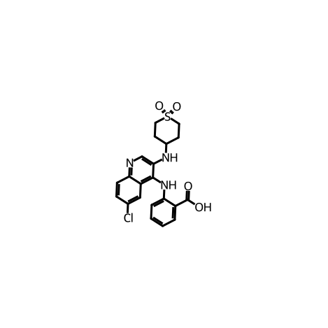 O=C(O)c1ccccc1Nc1c(NC2CCS(=O)(=O)CC2)cnc2ccc(Cl)cc12